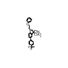 CC1(C)CN(CCOc2c[c]ccc2)c2ccc(-c3ccc(C(F)(F)F)cc3)cc21